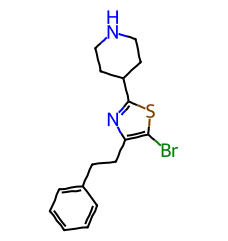 Brc1sc(C2CCNCC2)nc1CCc1ccccc1